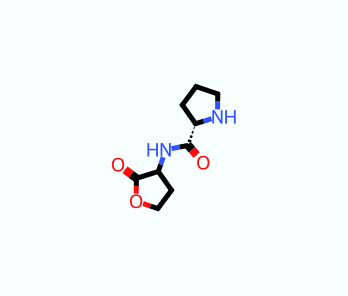 O=C1OCCC1NC(=O)[C@@H]1CCCN1